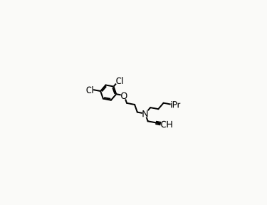 C#CCN(CCCOc1ccc(Cl)cc1Cl)CCCC(C)C